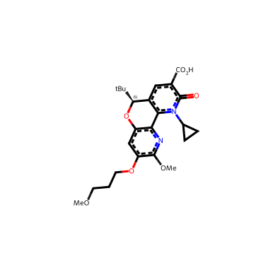 COCCCOc1cc2c(nc1OC)-c1c(cc(C(=O)O)c(=O)n1C1CC1)[C@H](C(C)(C)C)O2